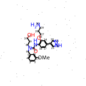 COc1cccc(CN(CCCO)C(=O)Nc2ccc(-c3cn[nH]c3)cc2OCCCN)c1